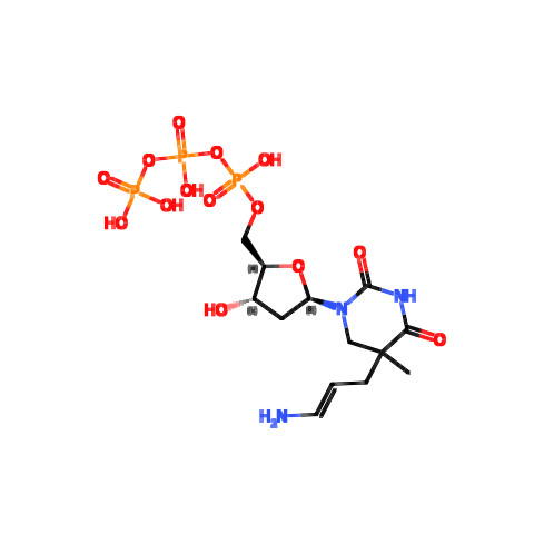 CC1(CC=CN)CN([C@H]2C[C@H](O)[C@@H](COP(=O)(O)OP(=O)(O)OP(=O)(O)O)O2)C(=O)NC1=O